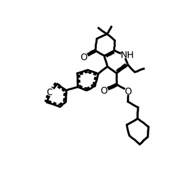 CCC1=C(C(=O)OCCC2CCCCC2)C(c2ccc(-c3ccccc3)cc2)C2=C(CC(C)(C)CC2=O)N1